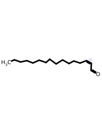 CCCCCCCCCCCCC/C=C\C=O